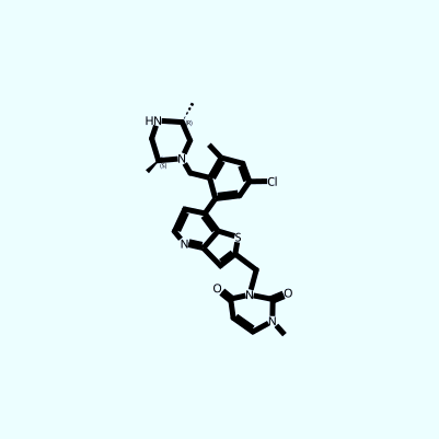 Cc1cc(Cl)cc(-c2ccnc3cc(Cn4c(=O)ccn(C)c4=O)sc23)c1CN1C[C@@H](C)NC[C@@H]1C